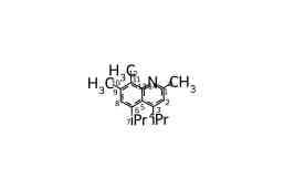 Cc1cc(C(C)C)c2c(C(C)C)cc(C)c(C)c2n1